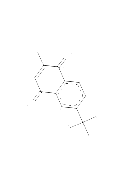 CC1=CC(=O)c2cc(C(C)(C)C)ccc2C1=O